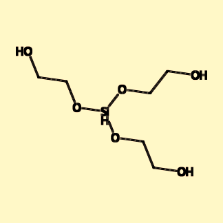 OCCO[SiH](OCCO)OCCO